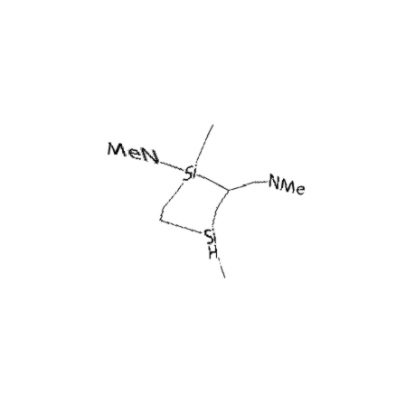 CNC1[SiH](C)C[Si]1(C)NC